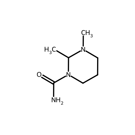 CC1N(C)CCCN1C(N)=O